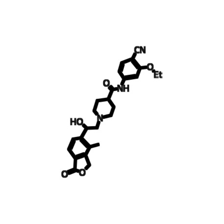 CCOc1cc(NC(=O)C2CCN(CC(O)c3ccc4c(c3C)COC4=O)CC2)ccc1C#N